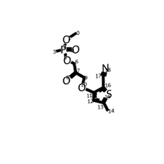 COP(C)(=O)OCC(=O)COc1cc(C)sc1C#N